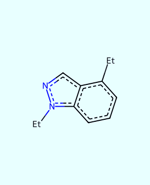 CCc1cccc2c1cnn2CC